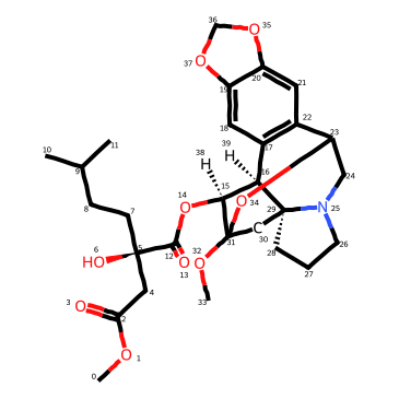 COC(=O)C[C@](O)(CCC(C)C)C(=O)O[C@H]1[C@H]2c3cc4c(cc3C3CN5CCC[C@]25CC1(OC)O3)OCO4